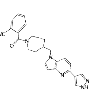 N#Cc1ccccc1C(=O)N1CCC(Cn2ccc3nc(-c4cn[nH]c4)ccc32)CC1